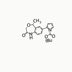 CC1OCC(=O)Nc2ccc(-c3cccn3C(=O)OC(C)(C)C)cc21